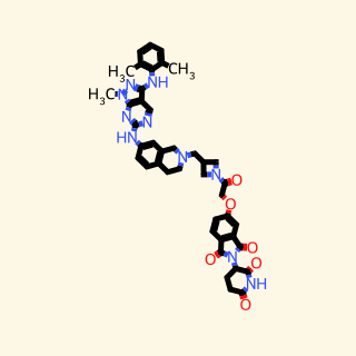 Cc1cccc(C)c1Nc1nn(C)c2nc(Nc3ccc4c(c3)CN(CC3CN(C(=O)COc5ccc6c(c5)C(=O)N(C5CCC(=O)NC5=O)C6=O)C3)CC4)ncc12